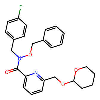 O=C(c1cccc(COC2CCCCO2)n1)N(Cc1ccc(F)cc1)OCc1ccccc1